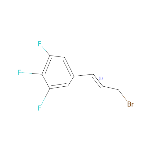 Fc1cc(/C=C/CBr)cc(F)c1F